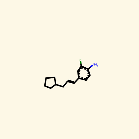 Nc1ccc(C=CCC2CCCC2)cc1F